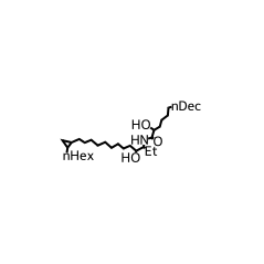 CCCCCCCCCCCCCCC(O)C(=O)NC(CC)C(O)CCCCCCCCCC1CC1CCCCCC